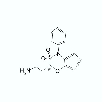 NCC[C@H]1Oc2ccccc2N(c2ccccc2)S1(=O)=O